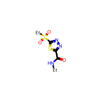 CCNC(=O)c1nnc(S(=O)(=O)CC)s1